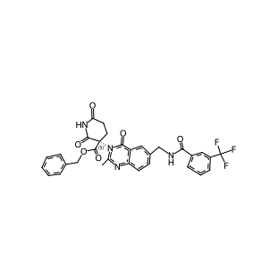 Cc1nc2ccc(CNC(=O)c3cccc(C(F)(F)F)c3)cc2c(=O)n1[C@@]1(C(=O)OCc2ccccc2)CCC(=O)NC1=O